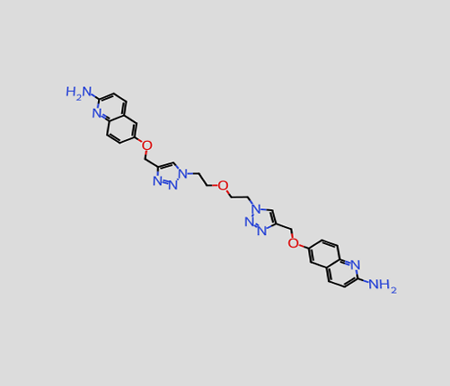 Nc1ccc2cc(OCc3cn(CCOCCn4cc(COc5ccc6nc(N)ccc6c5)nn4)nn3)ccc2n1